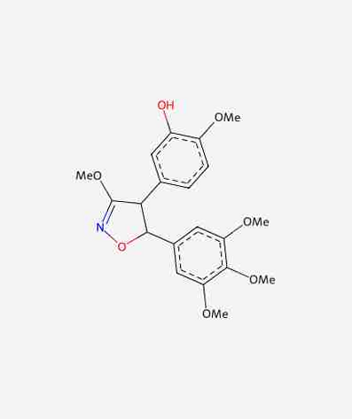 COC1=NOC(c2cc(OC)c(OC)c(OC)c2)C1c1ccc(OC)c(O)c1